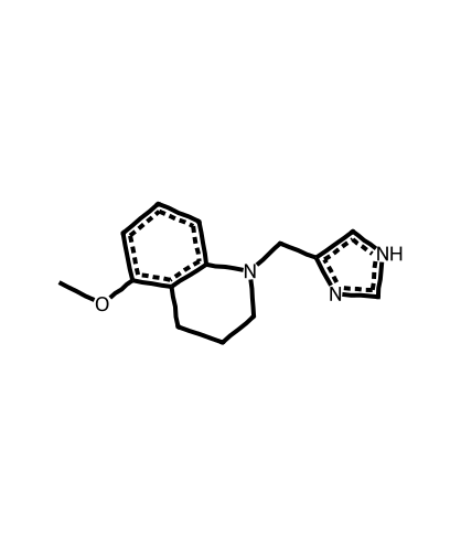 COc1cccc2c1CCCN2Cc1c[nH]cn1